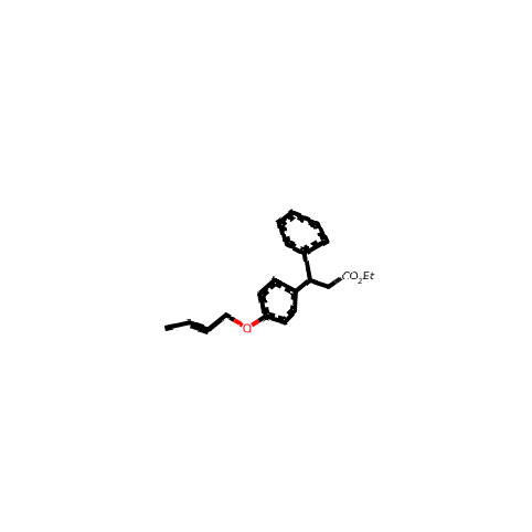 CC=CCOc1ccc(C(CC(=O)OCC)c2ccccc2)cc1